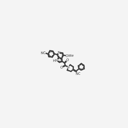 [C-]#[N+]C(=C1CCN(C(=O)C(=O)c2c[nH]c3c(-c4ccc(C#N)cc4)ncc(OC)c23)CC1)c1ccccc1